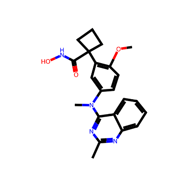 COc1ccc(N(C)c2nc(C)nc3ccccc23)cc1C1(C(=O)NO)CCC1